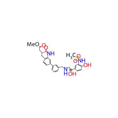 COC(=O)CC1Cc2ccc(-c3cccc(CNC[C@H](O)c4ccc(O)c(NS(C)(=O)=O)c4)c3)cc2NC1=O